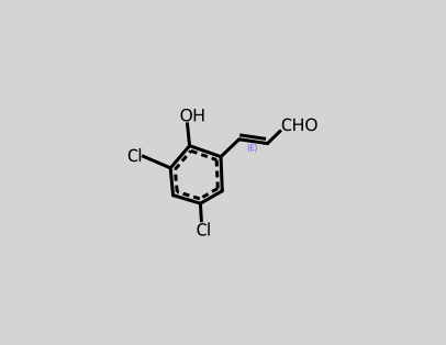 O=C/C=C/c1cc(Cl)cc(Cl)c1O